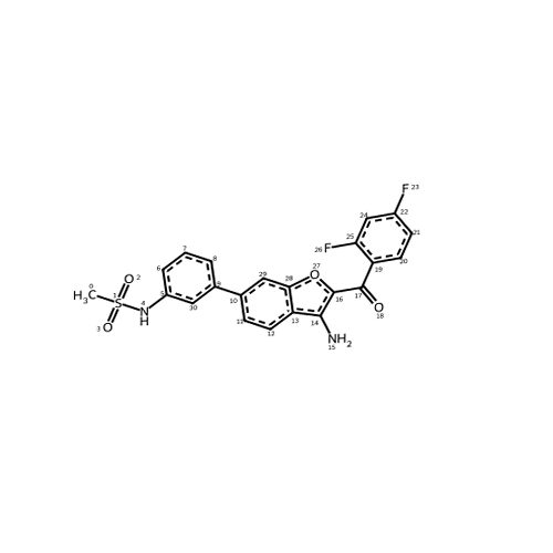 CS(=O)(=O)Nc1cccc(-c2ccc3c(N)c(C(=O)c4ccc(F)cc4F)oc3c2)c1